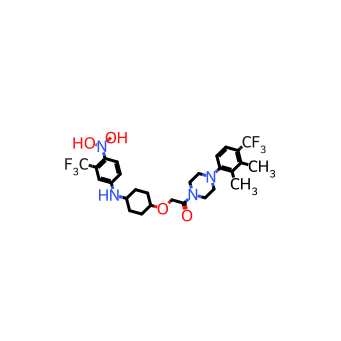 Cc1c(N2CCN(C(=O)COC3CCC(Nc4ccc(N(O)O)c(C(F)(F)F)c4)CC3)CC2)ccc(C(F)(F)F)c1C